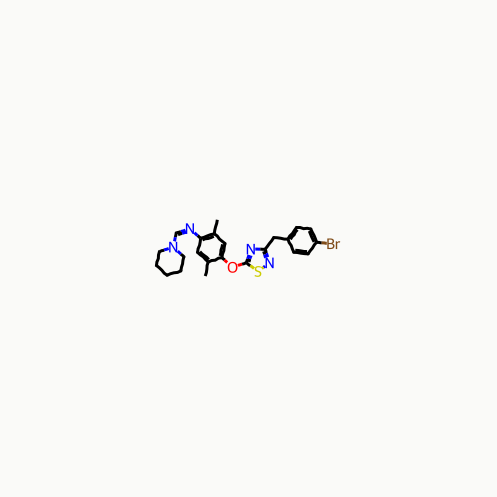 Cc1cc(Oc2nc(Cc3ccc(Br)cc3)ns2)c(C)cc1/N=C\N1CCCCC1